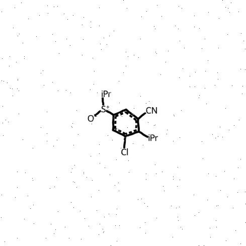 CC(C)c1c(Cl)cc([S+]([O-])C(C)C)cc1C#N